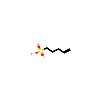 C=CC[CH]CS(=O)(=O)O